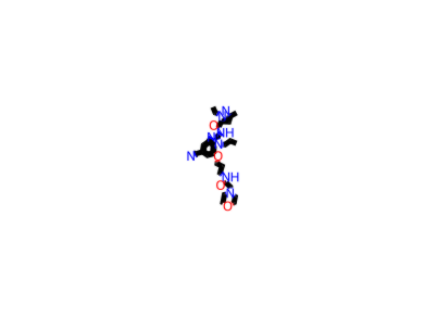 CCCn1c(NC(=O)c2cc(C)nn2CC)nc2cc(C#N)cc(OCCCNC(=O)CN3CCOCC3)c21